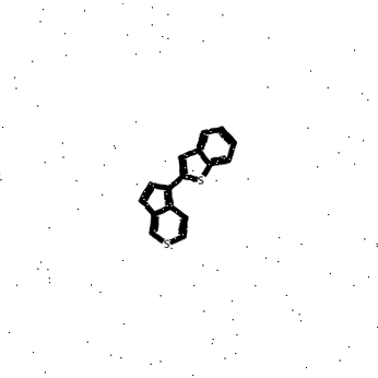 c1ccc2sc(-c3ccc4csccc3-4)cc2c1